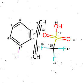 C#CC#C.Ic1ccccc1.O=S(=O)(O)C(F)(F)F